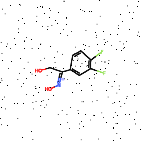 OC/C(=N\O)c1ccc(F)c(F)c1